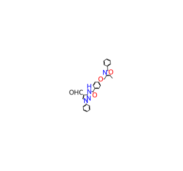 Cc1oc(-c2ccccc2)nc1COc1ccc(C(=O)Nc2nn(-c3ccccc3)cc2C=O)cc1